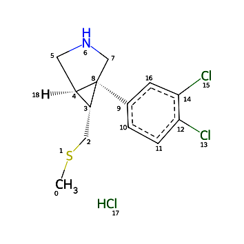 CSC[C@@H]1[C@H]2CNC[C@]21c1ccc(Cl)c(Cl)c1.Cl